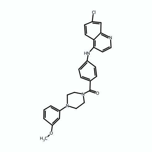 COc1cccc(N2CCN(C(=O)c3ccc(Nc4ccnc5cc(Cl)ccc45)cc3)CC2)c1